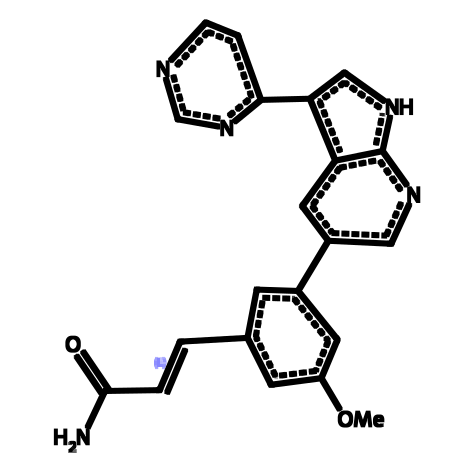 COc1cc(/C=C/C(N)=O)cc(-c2cnc3[nH]cc(-c4ccncn4)c3c2)c1